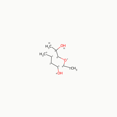 CCCCO.CCOCC(C)O